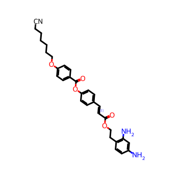 N#CCCCCCCOc1ccc(C(=O)Oc2ccc(/C=C/C(=O)OCCc3ccc(N)cc3N)cc2)cc1